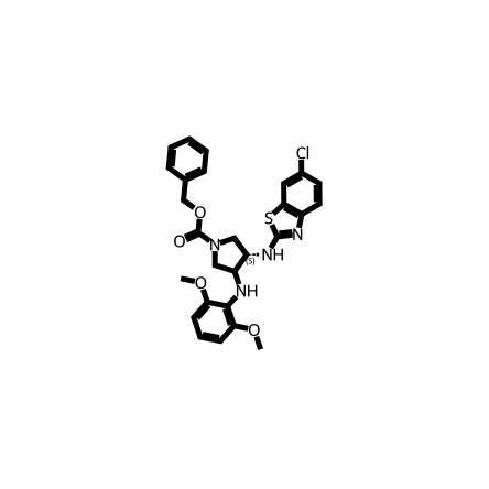 COc1cccc(OC)c1NC1CN(C(=O)OCc2ccccc2)C[C@@H]1Nc1nc2ccc(Cl)cc2s1